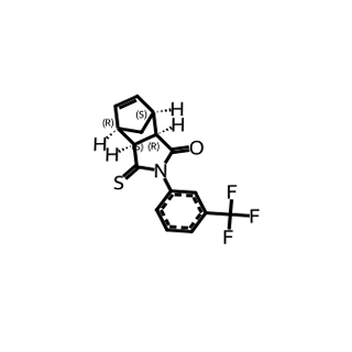 O=C1[C@H]2[C@@H](C(=S)N1c1cccc(C(F)(F)F)c1)[C@H]1C=C[C@@H]2C1